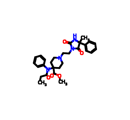 CCC(=O)N(c1ccccc1)C1(C(=O)OC)CCN(CCN2C(=O)NC(C)(c3ccccc3)C2=O)CC1